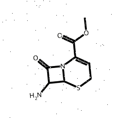 COC(=O)C1=CCSC2C(N)C(=O)N12